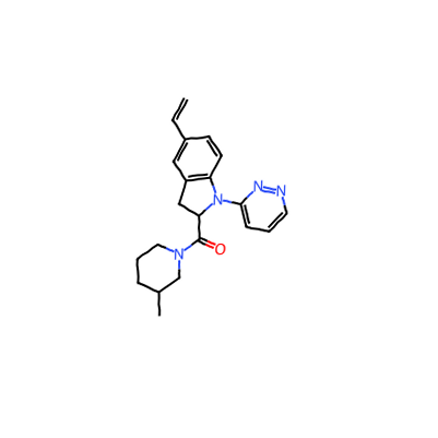 C=Cc1ccc2c(c1)CC(C(=O)N1CCCC(C)C1)N2c1cccnn1